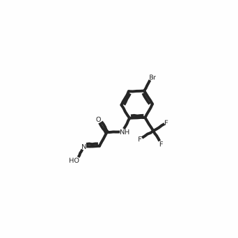 O=C(C=NO)Nc1ccc(Br)cc1C(F)(F)F